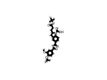 COc1cc(-c2nc(-c3ccc4c(c3)CC(CCC(=O)OC(C)(C)C)N4C(=O)O)no2)ccc1OC(F)F